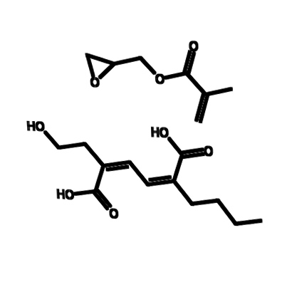 C=C(C)C(=O)OCC1CO1.CCCCC(=CC=C(CCO)C(=O)O)C(=O)O